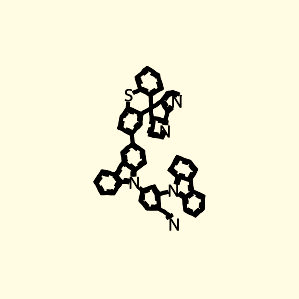 N#Cc1ccc(-n2c3ccccc3c3cc(-c4ccc5c(c4)C4(c6ccccc6S5)c5cccnc5-c5ncccc54)ccc32)cc1-n1c2ccccc2c2ccccc21